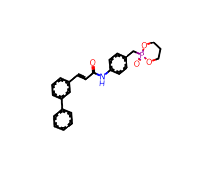 O=C(C=Cc1cccc(-c2ccccc2)c1)Nc1ccc(CP2(=O)OCCCO2)cc1